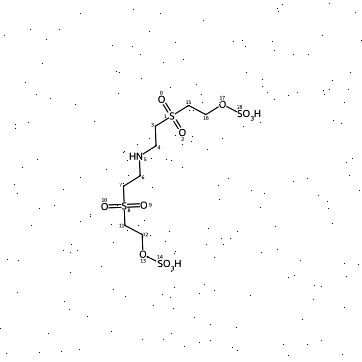 O=S(=O)(CCNCCS(=O)(=O)CCOS(=O)(=O)O)CCOS(=O)(=O)O